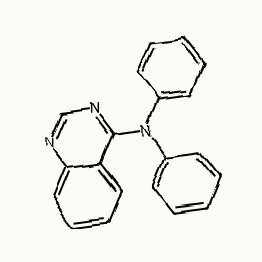 c1ccc(N(c2ccccc2)c2ncnc3ccccc23)cc1